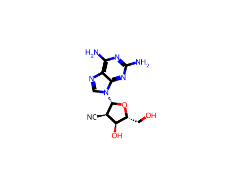 N#C[C@@H]1[C@H](O)[C@@H](CO)O[C@H]1n1cnc2c(N)nc(N)nc21